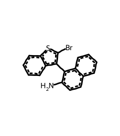 Nc1ccc2ccccc2c1-c1c(Br)sc2ccccc12